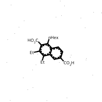 CCCCCCc1c(C(=O)O)c(CC)c(CC)c2cc(C(=O)O)ccc12